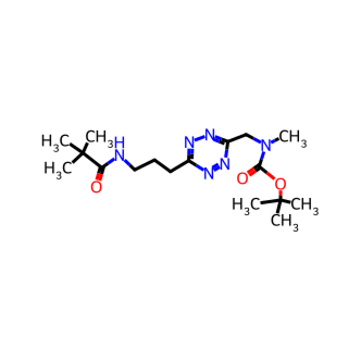 CN(Cc1nnc(CCCNC(=O)C(C)(C)C)nn1)C(=O)OC(C)(C)C